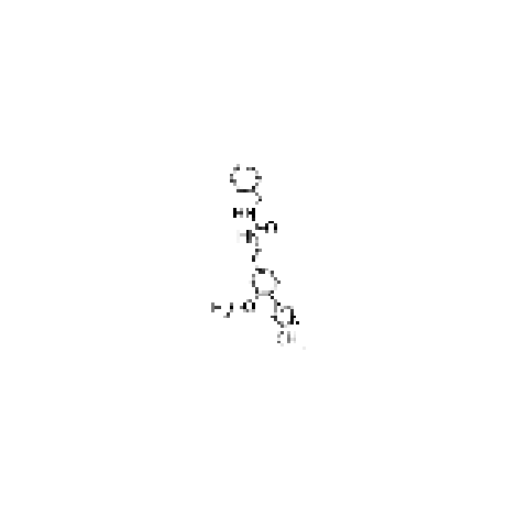 COc1cc(/C=C/NC(=O)NCc2ccccc2)ccc1-n1cnc(C)c1